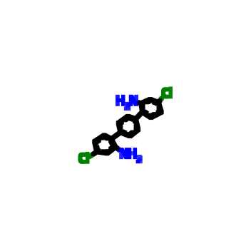 Nc1cc(Cl)ccc1-c1ccc(-c2ccc(Cl)cc2N)cc1